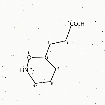 O=C(O)CCC1CCCNO1